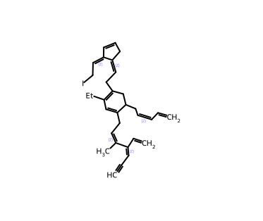 C#C/C=C(C=C)\C(C)=C/CC1=CC(CC)=C(C/C=C2/CC=C/C2=C/CI)CC1C/C=C\C=C